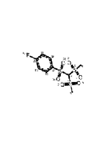 CS(=O)(=O)C(S(C)(=O)=O)S(=O)(=O)c1ccc(F)cc1